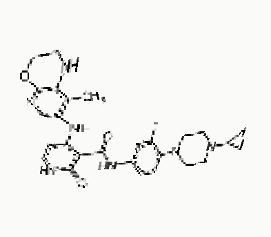 Cc1c(Nc2cc[nH]c(=O)c2C(=O)Nc2ccc(N3CCN(C4CC4)CC3)c(F)c2)cnc2c1NCCO2